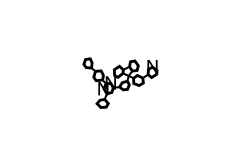 c1ccc(-c2ccc(-c3nc(-c4ccccc4)cc(-c4cccc(C5(c6cccc(-c7cccnc7)c6)c6ccccc6-c6ccccc65)c4)n3)cc2)cc1